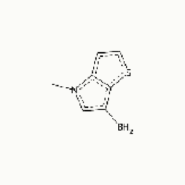 Bc1cn(C)c2ccsc12